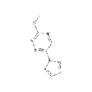 COc1ncc(-n2nccn2)nn1